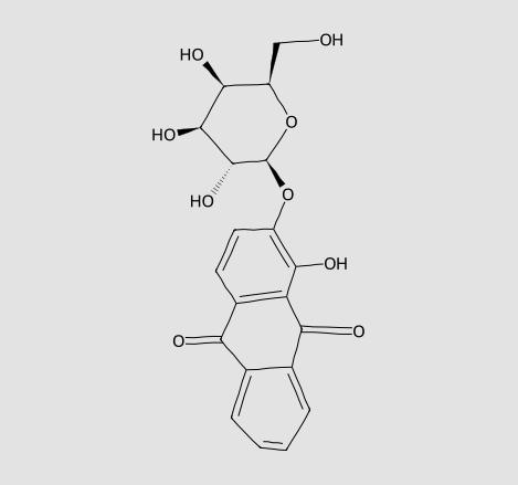 O=C1c2ccccc2C(=O)c2c1ccc(O[C@@H]1O[C@H](CO)[C@H](O)[C@H](O)[C@H]1O)c2O